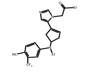 CCC(=O)Cn1cncc1C1=CCC(N(CC)c2ccc(C#N)c(C(F)(F)F)c2)C1